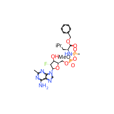 COP(=O)(OC[C@H]1O[C@@H](n2cnc3c(N)nc(C)nc32)[C@H](F)C1O)OP(C)(=O)N[C@@H](CC(C)C)C(=O)OCc1ccccc1